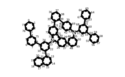 c1ccc(-c2cccc(-c3cc(-c4cccc5ccccc45)cc(-n4c5ccccc5c5cc(-c6ccccc6-c6ccc(N(c7ccccc7)c7cc(-c8ccccc8)cc(-c8ccccc8)c7)cc6)ccc54)c3)c2)cc1